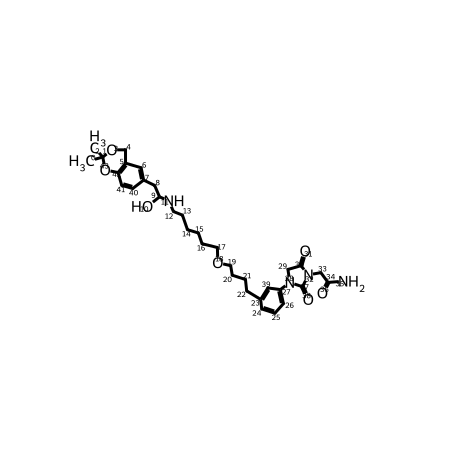 CC1(C)OCc2cc(CC(O)NCCCCCCOCCCCc3cccc(N4CC(=O)N(CC(N)=O)C4=O)c3)ccc2O1